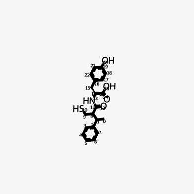 CC(c1ccccc1)C(CS)C(=O)N[C@@H](Cc1ccc(O)cc1)C(=O)O